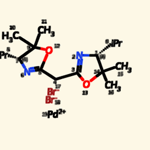 CC(C)[C@H]1N=C(CC2=N[C@H](C(C)C)C(C)(C)O2)OC1(C)C.[Br-].[Br-].[Pd+2]